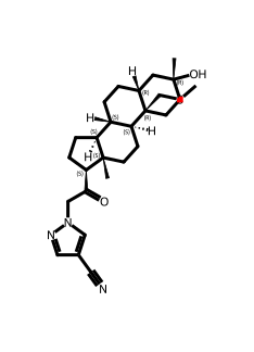 CSC[C@]12CC[C@@](C)(O)C[C@H]1CC[C@H]1[C@@H]3CC[C@H](C(=O)Cn4cc(C#N)cn4)[C@@]3(C)CC[C@@H]12